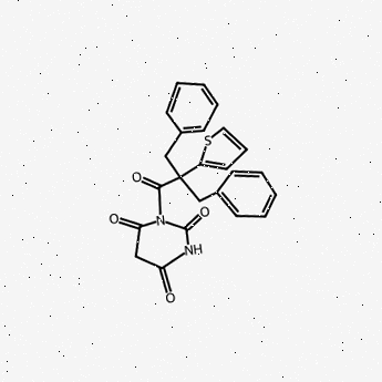 O=C1CC(=O)N(C(=O)C(Cc2ccccc2)(Cc2ccccc2)c2cccs2)C(=O)N1